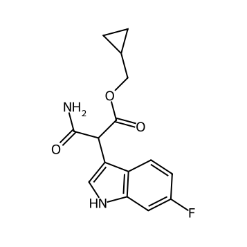 NC(=O)C(C(=O)OCC1CC1)c1c[nH]c2cc(F)ccc12